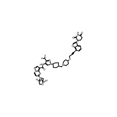 O=C1CC[C@H](c2coc3c(C#CCOC4CCN(CC5CCC(n6cc(NC(=O)c7cnn8ccc(N9C[C@H]%10C[C@@H]9CO%10)nc78)c(C(F)F)n6)CC5)CC4)cccc23)C(=O)N1